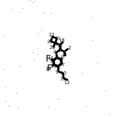 C=C(C)/C(Cc1ccc(CCCC)c(F)c1F)=C(\C)C1(C)CCC1